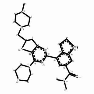 CN1CCN(CC2Cc3nc(-c4cc(C(=O)N(C)C)cc5[nH]ccc45)nc(N4CCOCC4)c3S2)CC1